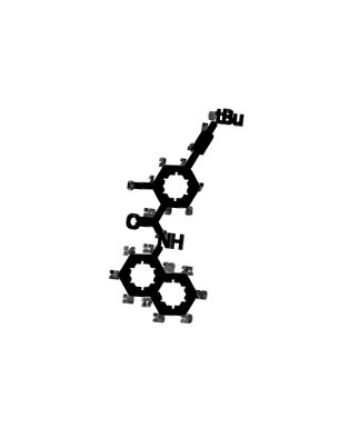 Cc1cc(C#CC(C)(C)C)ccc1C(=O)Nc1cccc2ccccc12